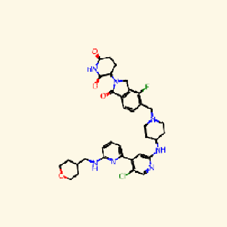 O=C1CCC(N2Cc3c(ccc(CN4CCC(Nc5cc(-c6cccc(NCC7CCOCC7)n6)c(Cl)cn5)CC4)c3F)C2=O)C(=O)N1